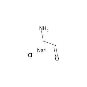 NCC=O.[Cl-].[Na+]